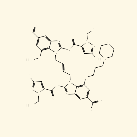 CCn1nc(C)cc1C(=O)Bc1nc2cc(C(N)=O)cc(OCCCN3CCNCC3)c2n1C/C=C/Cn1c(NC(=O)c2cc(C)nn2CC)nc2cc(C=O)cc(OC)c21